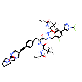 COC(=O)N[C@H](C(=O)N[C@@H](Cc1ccc(C#Cc2cnc(N3CC4CCC(C3)N4C3COC3)nc2)cc1)[C@@H](O)CN(Cc1c(F)cc(-c2cnn(C(F)F)c2)cc1F)NC(=O)[C@@H](NC(=O)OC)C(C)(C)C(F)(F)F)C(C)(C)C(F)(F)F